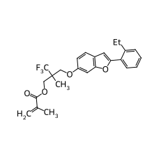 C=C(C)C(=O)OCC(C)(COc1ccc2cc(-c3ccccc3CC)oc2c1)C(F)(F)F